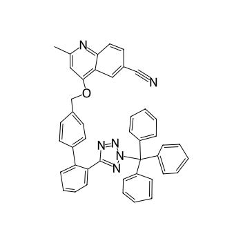 Cc1cc(OCc2ccc(-c3ccccc3-c3nnn(C(c4ccccc4)(c4ccccc4)c4ccccc4)n3)cc2)c2cc(C#N)ccc2n1